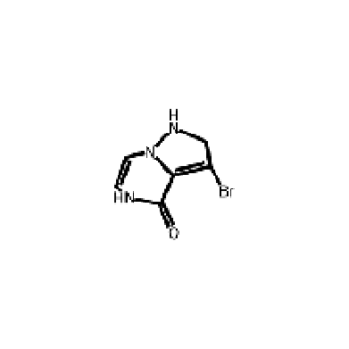 O=C1NC=CN2NCC(Br)=C12